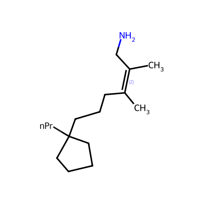 CCCC1(CCC/C(C)=C(/C)CN)CCCC1